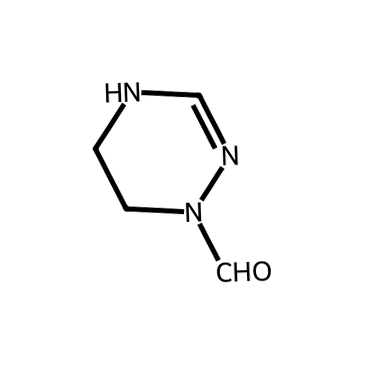 O=CN1CCNC=N1